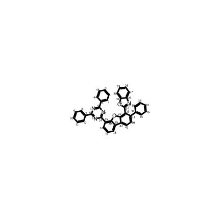 c1ccc(-c2nc(-c3ccccc3)nc(-c3cccc4c3oc3c(-c5nc6ccccc6o5)c(-c5ccccc5)ccc34)n2)cc1